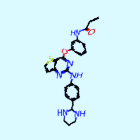 C=CC(=O)Nc1cccc(Oc2nc(Nc3ccc(C4NCCCN4)cc3)nc3ccsc23)c1